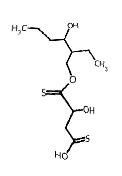 CCCC(O)C(CC)COC(=S)C(O)CC(O)=S